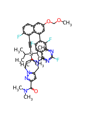 COCOc1cc(-c2c(F)cc3c(N4CCCn5nc(C(=O)N(C)C)cc5C4)nc(F)nc3c2F)c2c(C#C[Si](C(C)C)(C(C)C)C(C)C)c(F)ccc2c1